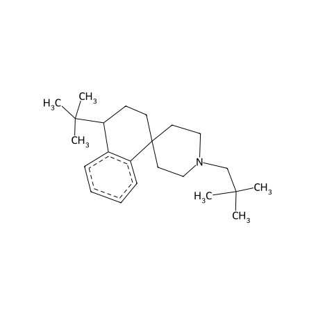 CC(C)(C)CN1CCC2(CCC(C(C)(C)C)c3ccccc32)CC1